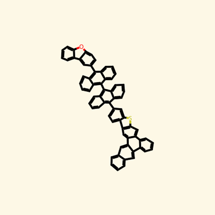 c1ccc2cc3c(cc2c1)c1ccccc1c1cc2sc4cc(-c5c6ccccc6c(-c6c7ccccc7c(-c7ccc8oc9ccccc9c8c7)c7ccccc67)c6ccccc56)ccc4c2cc31